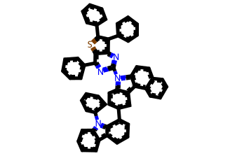 c1ccc(-c2sc3c(-c4ccccc4)nc(-n4c5ccc(-c6cccc7c8ccccc8n(-c8ccccc8)c67)cc5c5c6ccccc6ccc54)nc3c2-c2ccccc2)cc1